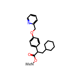 CNOC(=O)C(CC1CCCCC1)c1ccc(OCc2ccccn2)cc1